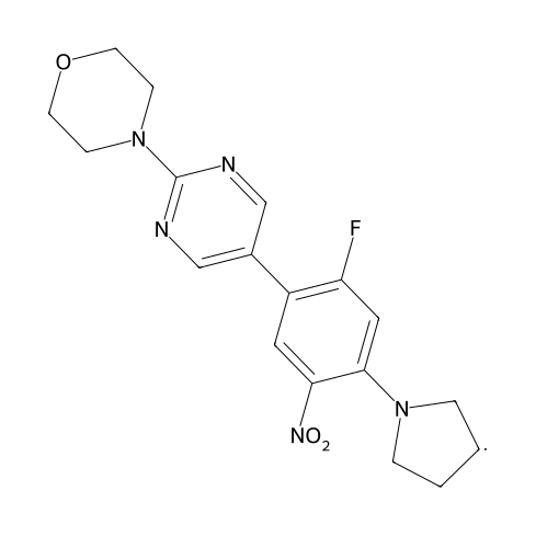 O=[N+]([O-])c1cc(-c2cnc(N3CCOCC3)nc2)c(F)cc1N1C[CH]CC1